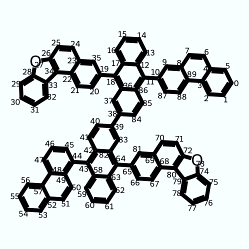 c1ccc2c(c1)ccc1cc(-c3c4ccccc4c(-c4ccc5c(ccc6oc7ccccc7c65)c4)c4cc(-c5ccc6c(-c7cccc8c7ccc7ccccc78)c7ccccc7c(-c7ccc8c(ccc9oc%10ccccc%10c98)c7)c6c5)ccc34)ccc12